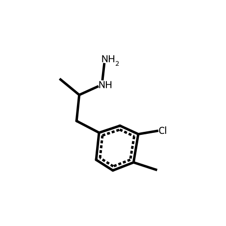 Cc1ccc(CC(C)NN)cc1Cl